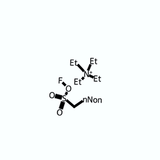 CCCCCCCCCCS(=O)(=O)OF.CC[N+](CC)(CC)CC